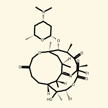 CCC(=O)/N=C1\[C@H](C)C[C@@]2(C)OCC(=O)CC[C@H]([C@H]1C)[C@](C)(O)[C@@H](CC)OC(=O)[C@H](C)C(=O)[C@H](C)[C@H]2O[C@H]1C[C@@H](N(C)C)C[C@@H](C)O1